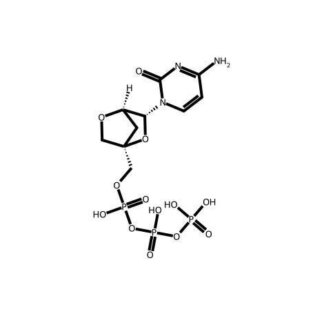 Nc1ccn([C@@H]2O[C@@]3(COP(=O)(O)OP(=O)(O)OP(=O)(O)O)CO[C@@H]2C3)c(=O)n1